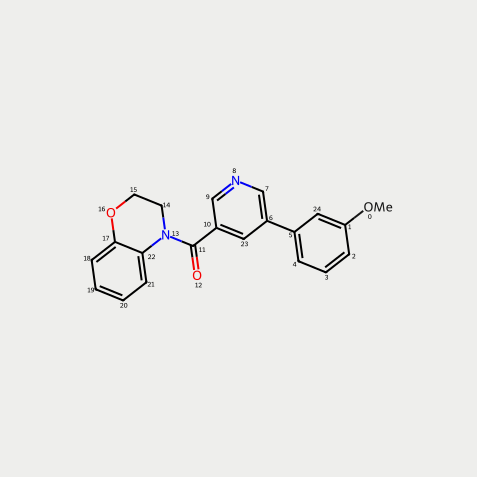 COc1cccc(-c2cncc(C(=O)N3CCOc4ccccc43)c2)c1